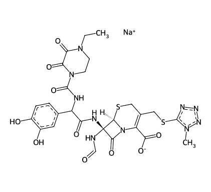 CCN1CCN(C(=O)NC(C(=O)N[C@]2(NC=O)C(=O)N3C(C(=O)[O-])=C(CSc4nnnn4C)CS[C@@H]32)c2ccc(O)c(O)c2)C(=O)C1=O.[Na+]